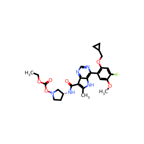 CCOC(=O)ON1CC[C@@H](NC(=O)c2c(C)[nH]c3c(-c4cc(OC)c(F)cc4OCC4CC4)ncnc23)C1